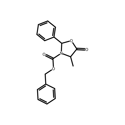 CC1C(=O)OC(c2ccccc2)N1C(=O)OCc1ccccc1